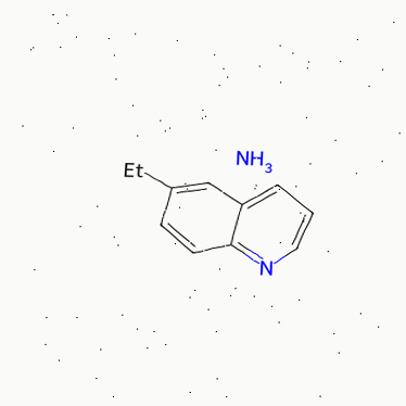 CCc1ccc2ncccc2c1.N